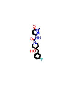 Cn1nc(NC(=O)N2CCC(O)(Cc3cccc(F)c3)CC2)ccc1=O